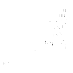 CC[C@H](C)C(NC(=O)[C@H]1CCCCN1C)C(=O)N(C)[C@H](C[C@@H](OC(C)=O)c1nc(C(=O)N[C@@H](Cc2ccc(F)cc2)C[C@H](C)C(=O)NNC(=O)OCCSSCCCCCCCCCCCN)cs1)C(C)C